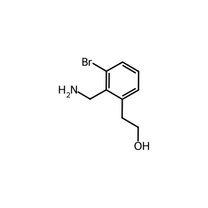 NCc1c(Br)cccc1CCO